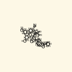 COc1ccc(C(OC[C@@]2(COP(OCCC#N)N(C(C)C)C(C)C)COC[C@H](n3cnc4c(NC(=O)c5ccccc5)ncnc43)O2)(c2ccccc2)c2ccc(OC)cc2)cc1